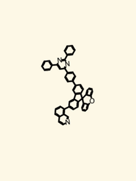 c1ccc(-c2cc(-c3ccc(-c4ccc5c(c4)-c4cc(-c6cccc7ccncc67)ccc4C54c5ccccc5Oc5ccccc54)cc3)nc(-c3ccccc3)n2)cc1